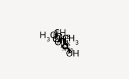 CN(C(=O)OC(C)(C)C)C1CCC(CO)C1